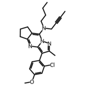 CC#CCN(CCCC)c1c2c(nc3c(-c4ccc(OC)cc4Cl)c(C)nn13)CCC2